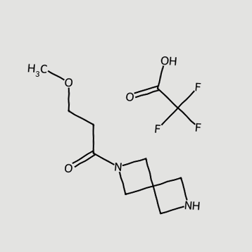 COCCC(=O)N1CC2(CNC2)C1.O=C(O)C(F)(F)F